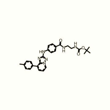 Cc1ccc(-c2cccn3nc(Nc4ccc(C(=O)NCCNC(=O)OC(C)(C)C)cc4)nc23)cc1